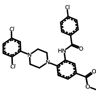 COC(=O)c1ccc(N2CCN(c3cc(Cl)ccc3Cl)CC2)c(NC(=O)c2ccc(Cl)cc2)c1